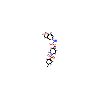 Cc1ccc(S(=O)(=O)N2CCC(OC(=O)Nc3ccc4c(c3)CCO4)CC2)cc1